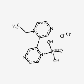 CC[n+]1ccncc1-c1cncc[n+]1P(=O)(O)O.[Cl-].[Cl-]